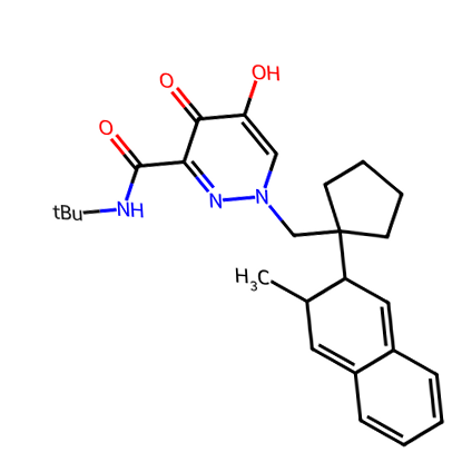 CC1C=c2ccccc2=CC1C1(Cn2cc(O)c(=O)c(C(=O)NC(C)(C)C)n2)CCCC1